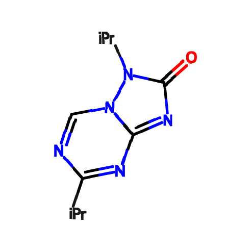 CC(C)c1ncn2c(n1)nc(=O)n2C(C)C